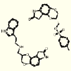 Cc1ccc(S(=O)(=O)OC[C@H]2COc3ccc4c(c3O2)CC(=O)N4)cc1.O=C1Cc2c(ccc3c2OC(CNCCc2c[nH]c4ccccc24)CO3)N1